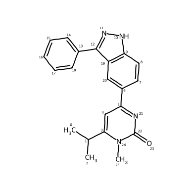 CC(C)c1cc(-c2ccc3[nH]nc(-c4ccccc4)c3c2)nc(=O)n1C